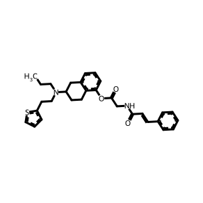 CCCN(CCc1cccs1)C1CCc2c(cccc2OC(=O)CNC(=O)/C=C/c2ccccc2)C1